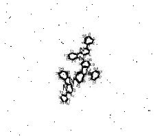 c1ccc(-c2ccc3c(n2)c2ccccc2n3-c2ccc3c(c2)c2cc(-n4c5ccccc5c5nc(-c6ccccc6)ccc54)ccc2n3-c2ccccc2)cc1